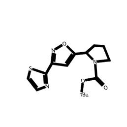 CC(C)(C)OC(=O)N1CCCC1c1cc(-c2nccs2)no1